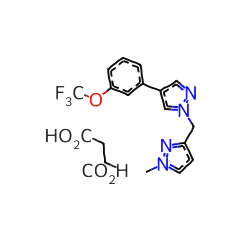 Cn1ccc(Cn2cc(-c3cccc(OC(F)(F)F)c3)cn2)n1.O=C(O)CCC(=O)O